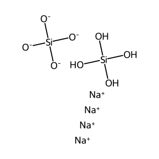 O[Si](O)(O)O.[Na+].[Na+].[Na+].[Na+].[O-][Si]([O-])([O-])[O-]